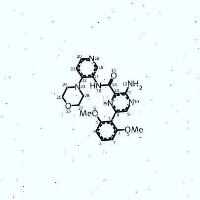 COc1cccc(OC)c1-c1cnc(N)c(C(=O)Nc2cnccc2N2CCOCC2)n1